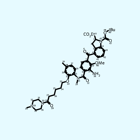 CCOC(=O)C1Cc2c(C(=O)c3ccc(C(=O)N(C)c4ccc(C)cc4OCCCCCC(=O)N4CCN(C)CC4)c(N)c3OC)cccc2N1C(=O)OC(C)(C)C